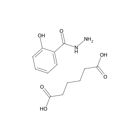 NNC(=O)c1ccccc1O.O=C(O)CCCCC(=O)O